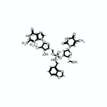 COC1[C@@H](O)[C@@H](COP(=O)(NCc2cccc3c2OCO3)O[C@@H]2C[C@H](n3cc(C)c(=O)[nH]c3=O)O[C@@H]2CO)O[C@H]1n1cnc2c(=O)[nH]c(N)nc21